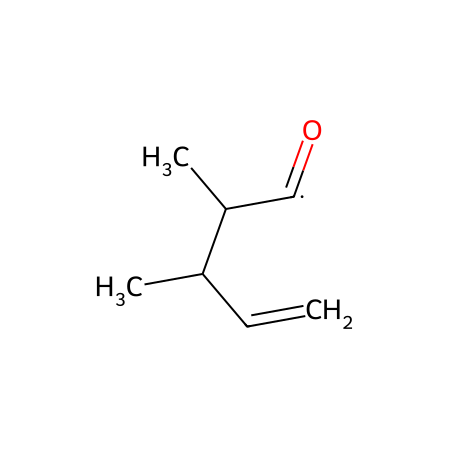 C=CC(C)C(C)[C]=O